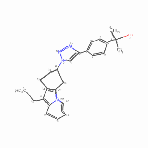 CC(C)(O)c1ccc(-c2cn(C3CCc4c(CC(=O)O)c5ccccn5c4C3)nn2)cc1